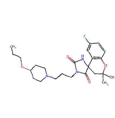 CCCOC1CCN(CCCN2C(=O)NC3(CC(C)(C)Oc4ccc(F)cc43)C2=O)CC1